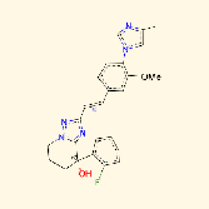 COc1cc(/C=C/c2nc3n(n2)CCC[C@]3(O)c2ccccc2F)ccc1-n1cnc(C)c1